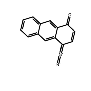 [N-]=[N+]=C1C=CC(=O)c2cc3ccccc3cc21